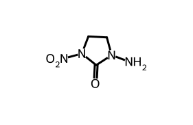 NN1CCN([N+](=O)[O-])C1=O